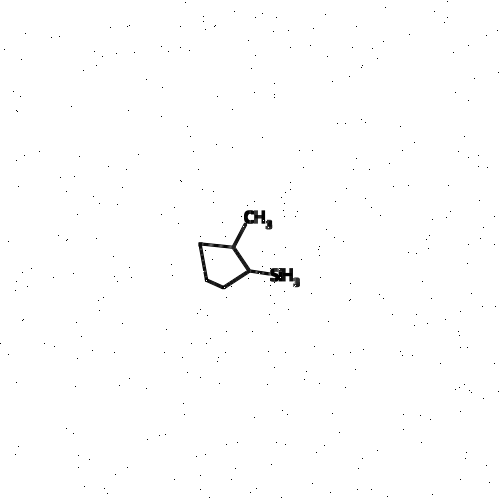 CC1CCCC1[SiH3]